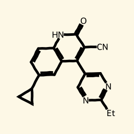 CCc1ncc(-c2c(C#N)c(=O)[nH]c3ccc(C4CC4)cc23)cn1